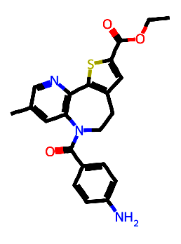 CCOC(=O)c1cc2c(s1)-c1ncc(C)cc1N(C(=O)c1ccc(N)cc1)CC2